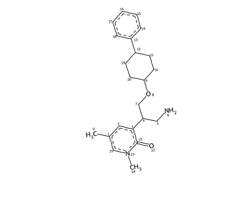 Cc1cc(C(CN)COC2CCC(c3ccccc3)CC2)c(=O)n(C)c1